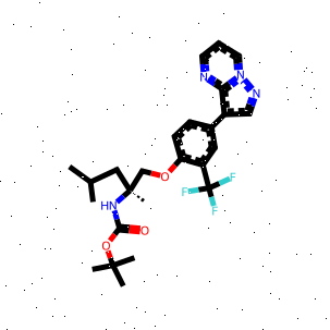 CC(C)C[C@@](C)(COc1ccc(-c2cnn3cccnc23)cc1C(F)(F)F)NC(=O)OC(C)(C)C